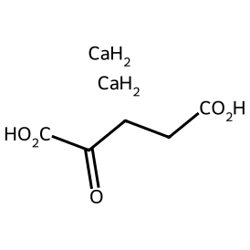 O=C(O)CCC(=O)C(=O)O.[CaH2].[CaH2]